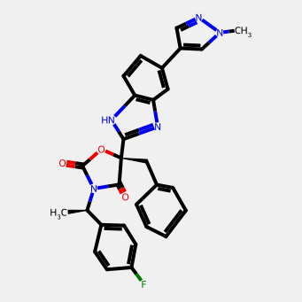 C[C@H](c1ccc(F)cc1)N1C(=O)O[C@](Cc2ccccc2)(c2nc3cc(-c4cnn(C)c4)ccc3[nH]2)C1=O